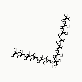 ClC(Cl)Cl.ClC(Cl)Cl.ClC(Cl)Cl.ClC(Cl)Cl.ClC(Cl)Cl.ClC(Cl)Cl.ClC(Cl)Cl.ClC(Cl)Cl.ClC(Cl)Cl.ClC(Cl)Cl.ClC(Cl)Cl.ClC(Cl)Cl.OCC(Cl)(Cl)Cl